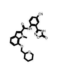 Cn1c(C(=O)Nc2ccc(C#N)cc2-c2noc(=O)[nH]2)cc2cccc(OCC3CCCCO3)c21